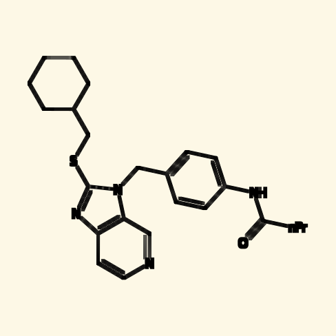 CCCC(=O)Nc1ccc(Cn2c(SCC3CCCCC3)nc3ccncc32)cc1